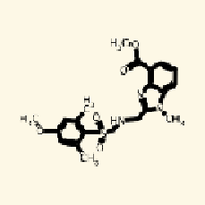 COC(=O)c1cccc2c1nc(CNCS(=O)(=O)c1c(C)cc(OC)cc1C)n2C